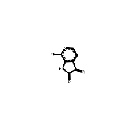 O=C1Nc2c(ccnc2Cl)C1=O